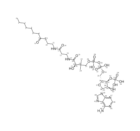 CCCCCCCC(=O)SCCNC(=O)CCNC(=O)[C@H](O)C(C)(C)COP(=O)(O)OP(=O)(O)OC[C@H]1O[C@@H](n2cnc3c(N)ncnc32)[C@H](O)[C@@H]1OP(=O)(O)O